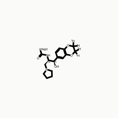 [2H]C1([2H])Oc2ccc([C@@H](O)[C@@H](CN3CCCC3)NC(=O)CCCCCCC)cc2OC1([2H])[2H]